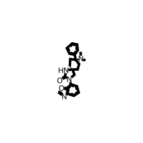 CN(C)[C@]1(c2ccccc2)CC[C@]2(CC1)CN(c1cccc3ncoc13)C(=O)N2